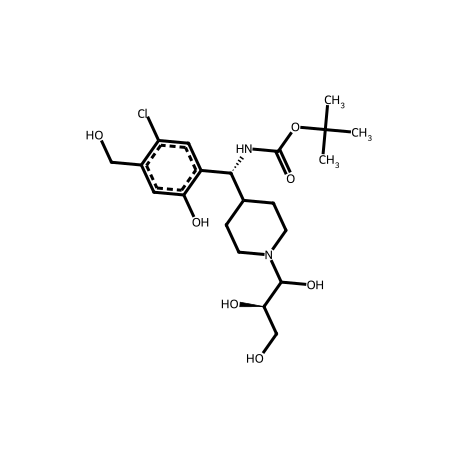 CC(C)(C)OC(=O)N[C@@H](c1cc(Cl)c(CO)cc1O)C1CCN(C(O)[C@H](O)CO)CC1